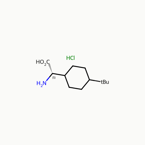 CC(C)(C)C1CCC([C@H](N)C(=O)O)CC1.Cl